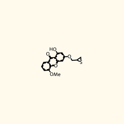 COc1cccc2c(=O)c3c(O)cc(OCC4CS4)cc3oc12